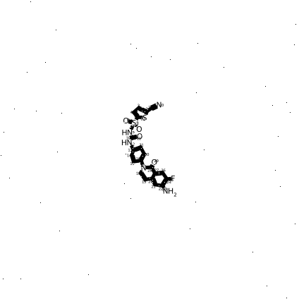 N#Cc1ccc(S(=O)(=O)NC(=O)Nc2ccc(-n3ccc4cc(N)c(F)cc4c3=O)cc2)s1